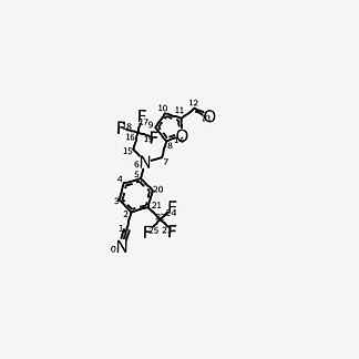 N#Cc1ccc(N(Cc2ccc(C=O)o2)CC(F)(F)F)cc1C(F)(F)F